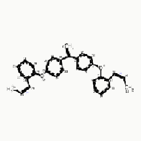 C=C(c1ccc(Oc2ccccc2/C=C\C)cc1)c1ccc(Oc2ccccc2/C=C\C)cc1